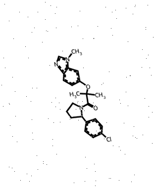 Cn1cnc2ccc(OC(C)(C)C(=O)N3CCCC3c3ccc(Cl)cc3)cc21